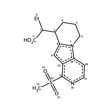 CCC(C(=O)O)C1CCCn2c1cc1c(S(C)(=O)=O)nccc12